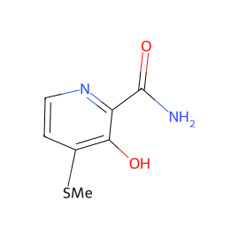 CSc1ccnc(C(N)=O)c1O